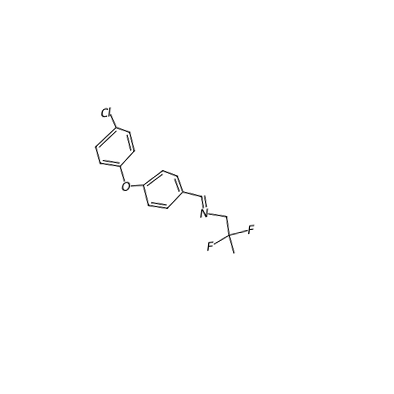 CC(F)(F)C/N=C/c1ccc(Oc2ccc(Cl)cc2)cc1